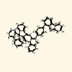 c1ccc2c(c1)-c1ccccc1C21c2ccccc2-c2cc3c(-c4ccc(-c5cccc6c5sc5ccccc56)cc4)nc4ccccc4c3cc21